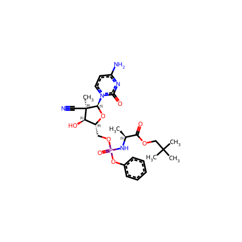 C[C@H](NP(=O)(OC[C@H]1O[C@H](n2ccc(N)nc2=O)[C@](C)(C#N)[C@@H]1O)Oc1ccccc1)C(=O)OCC(C)(C)C